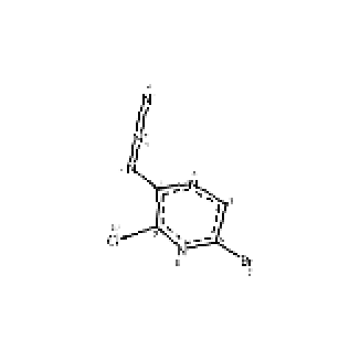 [N-]=[N+]=Nc1ncc(Br)nc1Cl